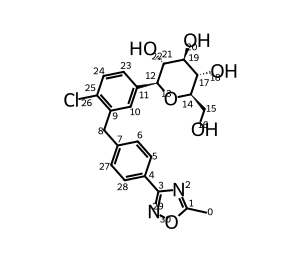 Cc1nc(-c2ccc(Cc3cc([C@@H]4O[C@H](CO)[C@@H](O)[C@H](O)[C@H]4O)ccc3Cl)cc2)no1